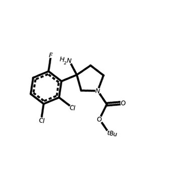 CC(C)(C)OC(=O)N1CCC(N)(c2c(F)ccc(Cl)c2Cl)C1